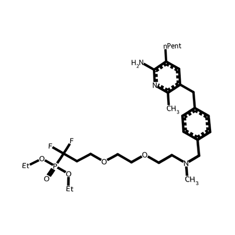 CCCCCc1cc(Cc2ccc(CN(C)CCOCCOCCC(F)(F)P(=O)(OCC)OCC)cc2)c(C)nc1N